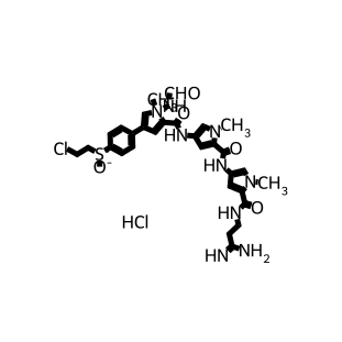 Cl.Cn1cc(NC(=O)c2cc(NC(=O)C3=CC(c4ccc([S+]([O-])CCCl)cc4)=C[N+]3(C)NC=O)cn2C)cc1C(=O)NCCC(=N)N